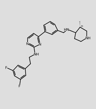 C[C@@H]1CNCCC1NCc1cccc(-c2ccnc(NCCc3cc(F)cc(F)c3)n2)c1